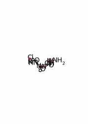 Nc1cc2c(=O)n(CC3(O)CCN(C(=O)[C@@H]4CCN(CCNC(=O)c5ccc6c(Cl)ccnc6c5)C[C@H]4c4ccccc4)CC3)cnn2c1